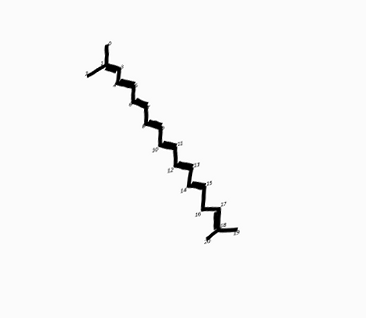 CC(C)=CC=CC=CC=CC=CC=CC=CCC=C(C)C